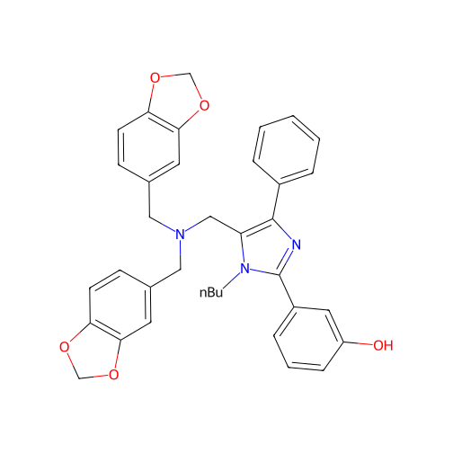 CCCCn1c(-c2cccc(O)c2)nc(-c2ccccc2)c1CN(Cc1ccc2c(c1)OCO2)Cc1ccc2c(c1)OCO2